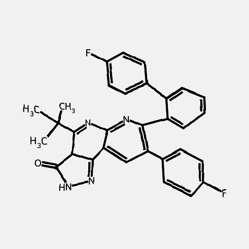 CC(C)(C)C1=Nc2nc(-c3ccccc3-c3ccc(F)cc3)c(-c3ccc(F)cc3)cc2C2=NNC(=O)C21